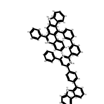 c1ccc(-c2cc(-c3ccc(-c4cccc5c4oc4ccccc45)cc3)nc(-c3cccc(-c4cccc(-c5c6c(cc7c(-c8ccccc8)nc8ccccc8c57)oc5ccccc56)c4)c3)n2)cc1